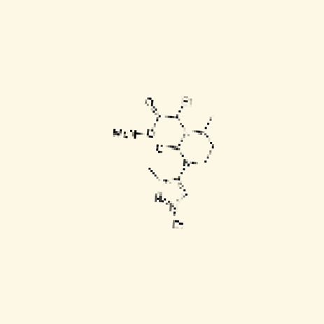 CCC(C(=O)ONC)C1=C(C)CCN(c2cn(CC)nc2C)C1=O